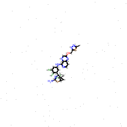 Cc1nnc(COc2cnc3c(Nc4cc(F)c(F)c([C@]5(C)N=C(N)S[C@@]6(C(F)F)C[C@@H]56)c4)nccc3n2)s1